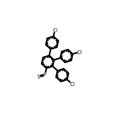 S=Pc1ccc(-c2ccc(Cl)cc2)c(-c2ccc(Cl)cc2)c1-c1ccc(Cl)cc1